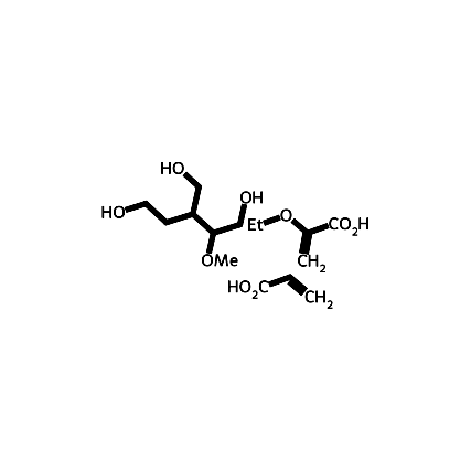 C=C(OCC)C(=O)O.C=CC(=O)O.COC(CO)C(CO)CCO